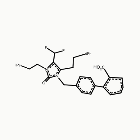 CC(C)CCc1c(C(F)F)n(CCC(C)C)c(=O)n1Cc1ccc(-c2ccccc2C(=O)O)cc1